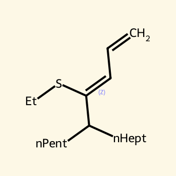 C=C/C=C(\SCC)C(CCCCC)CCCCCCC